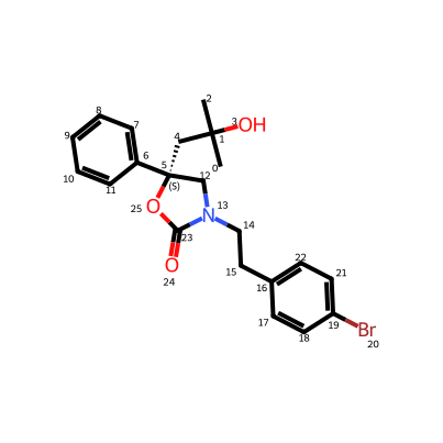 CC(C)(O)C[C@]1(c2ccccc2)CN(CCc2ccc(Br)cc2)C(=O)O1